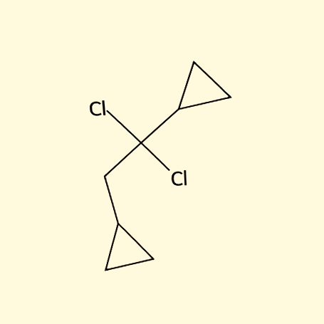 ClC(Cl)(CC1CC1)C1CC1